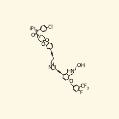 CC(C)[C@H](C(=O)N1CCC2(CC1)Oc1ccc(C#CCCn3cc(C#Cc4ccc(OCc5ccc(F)c(C(F)(F)F)c5)c(CNCCO)c4)cn3)cc1O2)c1ccc(Cl)cc1